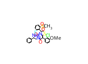 COc1cccc(-c2c3n(c(=O)n(CC(N)c4ccccc4)c2=O)C(c2c(F)cccc2S(C)(=O)=O)CS3)c1Cl